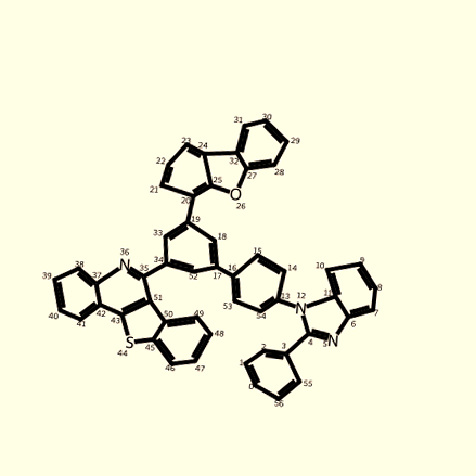 c1ccc(-c2nc3ccccc3n2-c2ccc(-c3cc(-c4cccc5c4oc4ccccc45)cc(-c4nc5ccccc5c5sc6ccccc6c45)c3)cc2)cc1